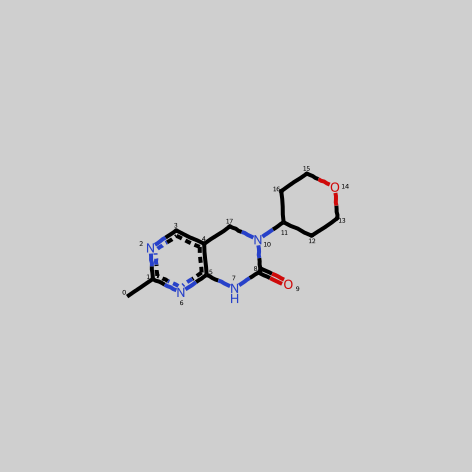 Cc1ncc2c(n1)NC(=O)N(C1CCOCC1)C2